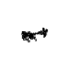 CCC(F)(CCCCCNCc1cc(F)cc(F)c1F)CC1Cc2cc(OC)c(OC)cc2C1=O